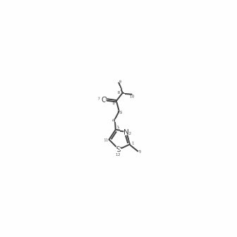 Cc1nc(CCC(=O)C(C)C)cs1